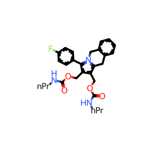 CCCNC(=O)OCc1c(COC(=O)NCCC)c(-c2ccc(F)cc2)n2c1Cc1ccccc1C2